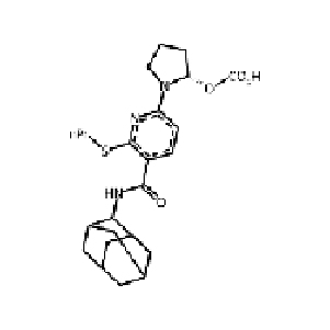 CCCSc1nc(N2CCC[C@@H]2OC(=O)O)ccc1C(=O)NC1C2CC3CC(C2)CC1C3